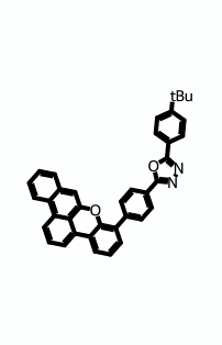 CC(C)(C)c1ccc(-c2nnc(-c3ccc(-c4cccc5c4Oc4cc6ccccc6c6cccc-5c46)cc3)o2)cc1